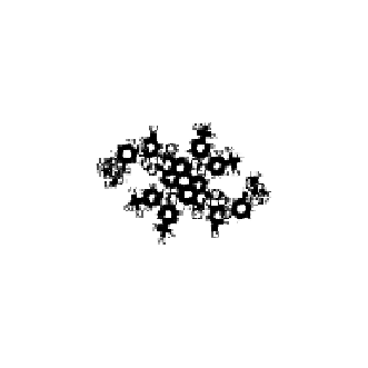 CO[Si](CC1CCCC(OC(=O)C(CC(C)C)N2C(=O)c3cc(Oc4ccc(C(C)(C)C)cc4)c4c5c(Oc6ccc(C(C)(C)C)cc6)cc6c7c(cc(Oc8ccc(C(C)(C)C)cc8)c(c8c(Oc9ccc(C(C)(C)C)cc9)cc(c3c48)C2=O)c75)C(=O)N(C(CC(C)C)C(=O)OC2CCCC(C[Si](OC)(OC)OC)C2)C6=O)C1)(OC)OC